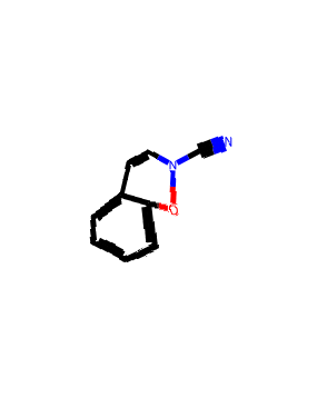 N#CN1C=Cc2ccccc2O1